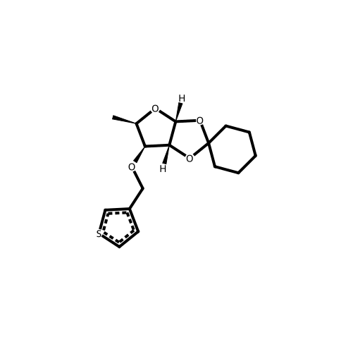 C[C@H]1O[C@@H]2OC3(CCCCC3)O[C@@H]2[C@H]1OCc1ccsc1